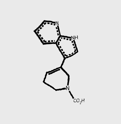 O=C(O)N1CCC=C(c2c[nH]c3ncccc23)C1